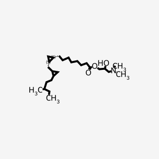 CCC(C)CCC1CC1C[C@@H]1C[C@@H]1CCCCCCCC(=O)OCC(O)CN(C)C